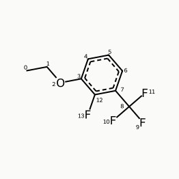 CCOc1cccc(C(F)(F)F)c1F